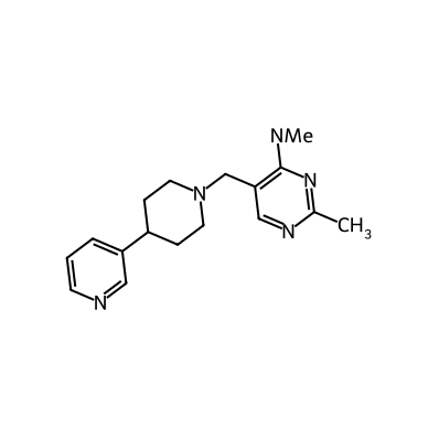 CNc1nc(C)ncc1CN1CCC(c2cccnc2)CC1